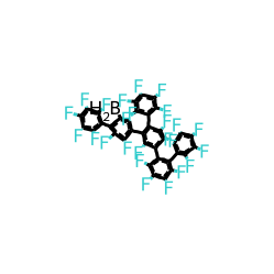 Bc1c(F)c(-c2c(F)c(-c3c(F)c(F)c(F)c(F)c3-c3c(F)c(F)c(F)c(F)c3F)c(F)c(F)c2-c2c(F)c(F)c(F)c(F)c2F)c(F)c(F)c1-c1c(F)c(F)c(F)c(F)c1F